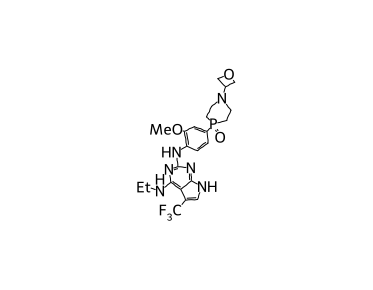 CCNc1nc(Nc2ccc(P3(=O)CCN(C4COC4)CC3)cc2OC)nc2[nH]cc(C(F)(F)F)c12